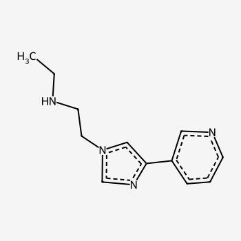 CCNCCn1cnc(-c2cccnc2)c1